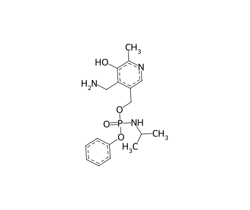 Cc1ncc(COP(=O)(NC(C)C)Oc2ccccc2)c(CN)c1O